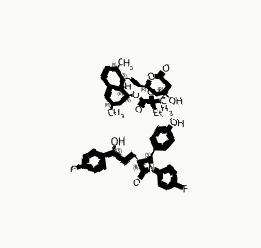 CCC(C)(C)C(=O)O[C@H]1C[C@@H](C)C=C2C=C[C@H](C)[C@H](CC[C@@H]3C[C@@H](O)CC(=O)O3)[C@H]21.O=C1[C@H](CC[C@H](O)c2ccc(F)cc2)[C@@H](c2ccc(O)cc2)N1c1ccc(F)cc1